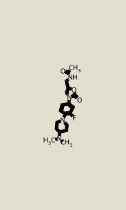 CC(=O)NCC1CN(c2ccc(N3CCC(N(C)C)CC3)c(F)c2)C(=O)O1